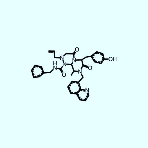 C=CCN1CC(=O)N2C(Cc3ccc(O)cc3)C(=O)N(Cc3cccc4cccnc34)C(C)C2N1C(=O)NCc1ccccc1